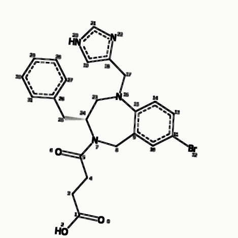 O=C(O)CCC(=O)N1Cc2cc(Br)ccc2N(Cc2c[nH]cn2)C[C@H]1Cc1ccccc1